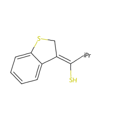 CC(C)/C(S)=C1\CSc2ccccc21